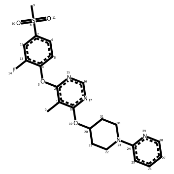 Cc1c(Oc2ccc(S(C)(=O)=O)cc2F)ncnc1OC1CCN(c2ccccn2)CC1